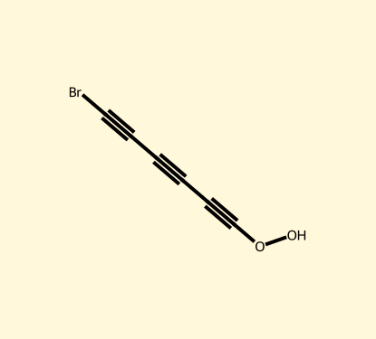 OOC#CC#CC#CBr